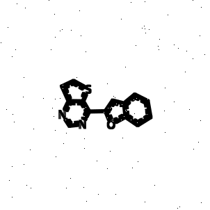 c1ccc2oc(-c3ncnc4ccsc34)cc2c1